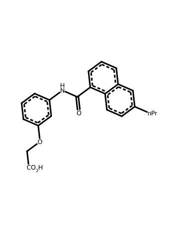 CCCc1ccc2c(C(=O)Nc3cccc(OCC(=O)O)c3)cccc2c1